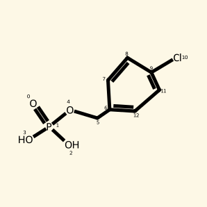 O=P(O)(O)OCc1ccc(Cl)cc1